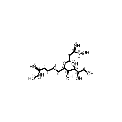 N=C(CCOCC(OCCC(=N)NO)C(O)C(O)C(O)CO)NO